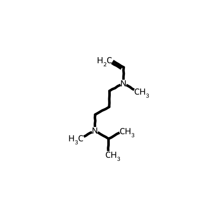 C=CN(C)CCCN(C)C(C)C